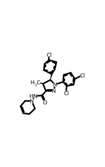 C[C@@H]1C(C(=O)NN2CC=CCC2)=NN(c2ccc(Cl)cc2Cl)[C@@H]1c1ccc(Cl)cc1